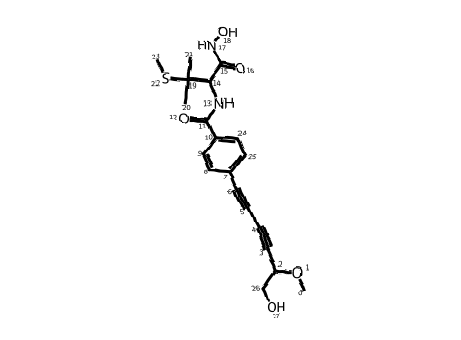 COC(C#CC#Cc1ccc(C(=O)NC(C(=O)NO)C(C)(C)SC)cc1)CO